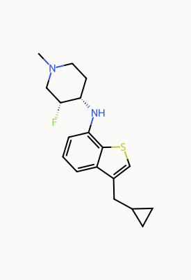 CN1CC[C@H](Nc2cccc3c(CC4CC4)csc23)[C@H](F)C1